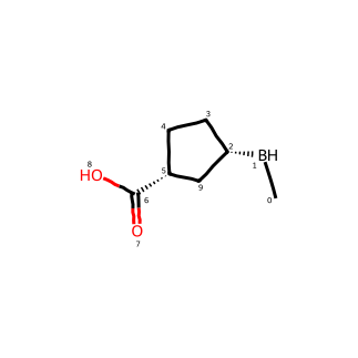 CB[C@H]1CC[C@@H](C(=O)O)C1